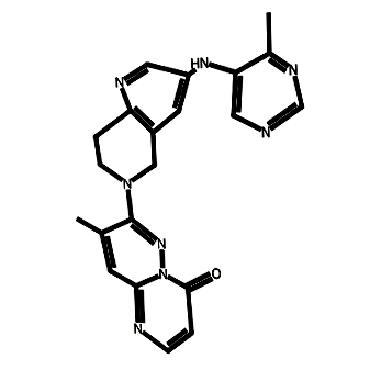 Cc1cc2nccc(=O)n2nc1N1CCc2ncc(Nc3cncnc3C)cc2C1